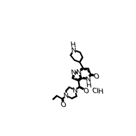 CCC(=O)N1CCN(C(=O)c2cnn3c(C4CCNCC4)cc(=O)[nH]c23)CC1.Cl